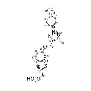 Cc1nn(-c2ccc(C(F)(F)F)cc2)nc1COc1ccc2nc(CC(=O)O)sc2c1